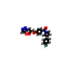 O=C(c1ccc(OCC(O)Cn2ccnn2)cc1)N1CC[C@H](c2ccc(F)cc2)C1